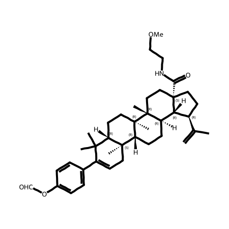 C=C(C)[C@@H]1CC[C@]2(C(=O)NCCOC)CC[C@]3(C)[C@H](CC[C@@H]4[C@@]5(C)CC=C(c6ccc(OC=O)cc6)C(C)(C)[C@@H]5CC[C@]43C)[C@@H]12